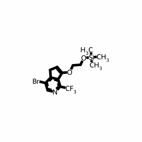 C[Si](C)(C)OCCOC1=CCc2c(Br)cnc(C(F)(F)F)c21